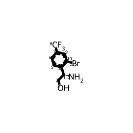 N[C@H](CO)c1ccc(C(F)(F)F)cc1Br